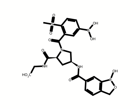 CS(=O)(=O)c1ccc(B(O)O)cc1C(=O)N1C[C@@H](NC(=O)c2ccc3c(c2)B(O)OC3)C[C@H]1C(=O)NCC(=O)O